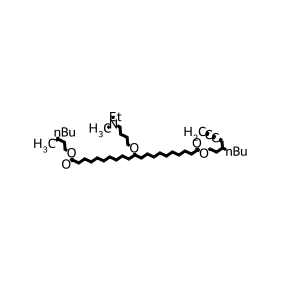 C=C=C=CC(CCCC)CCOC(=O)CCCCCCCCCC(CCCCCCCCCC(=O)OCCC(C)CCCC)OCCCCN(C)CC